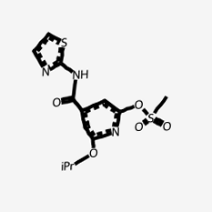 CC(C)Oc1cc(C(=O)Nc2nccs2)cc(OS(C)(=O)=O)n1